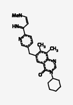 CN/C=C\C(=N)c1ccc(Cc2cc3c(=O)n(C4CCCCC4)cnc3c(C)c2C)cn1